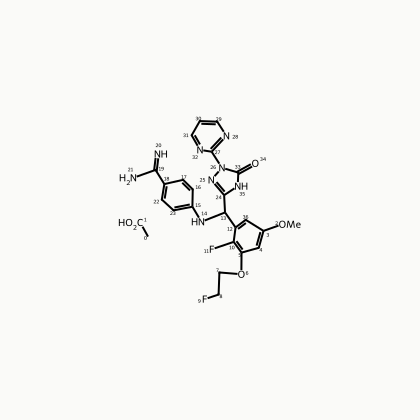 CC(=O)O.COc1cc(OCCF)c(F)c(C(Nc2ccc(C(=N)N)cc2)c2nn(-c3ncccn3)c(=O)[nH]2)c1